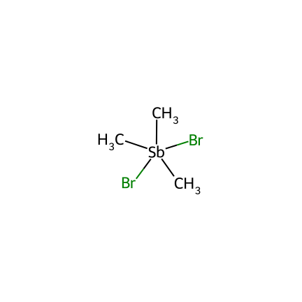 [CH3][Sb]([CH3])([CH3])([Br])[Br]